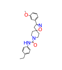 CCc1ccc(NC(=O)N2CCC3(CC2)CC(c2cccc(OC)c2)=NO3)cc1